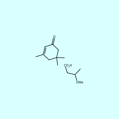 CC1=CC(=O)CC(C)(C)C1.COC(C)CC(=O)O